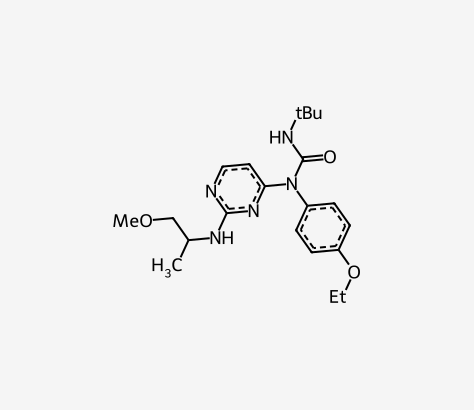 CCOc1ccc(N(C(=O)NC(C)(C)C)c2ccnc(NC(C)COC)n2)cc1